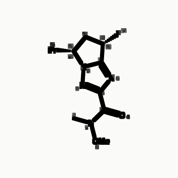 CON(C)C(=O)c1nc2n(n1)[C@H](C(C)C)C[C@@H]2F